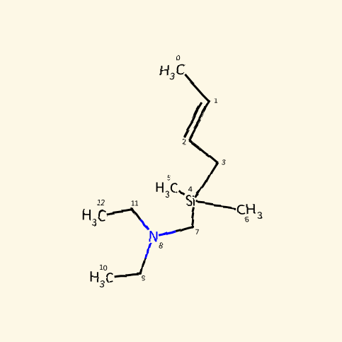 CC=CC[Si](C)(C)CN(CC)CC